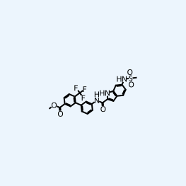 COC(=O)c1ccc(C(F)(F)F)c(-c2cccc(NC(=O)c3cc4ccc(NS(C)(=O)=O)cc4[nH]3)c2)c1